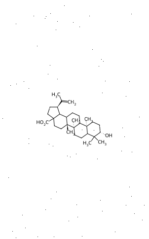 C=C(C)[C@@H]1CCC2(C(=O)O)CC[C@]3(C)C(CCC4[C@@]5(C)CC[C@H](O)C(C)(C)C5CC[C@]43C)C12